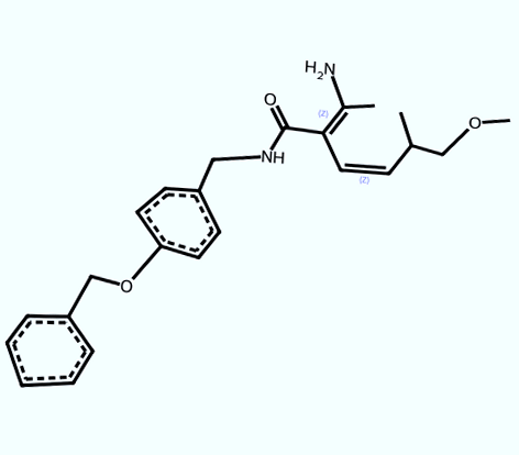 COCC(C)/C=C\C(C(=O)NCc1ccc(OCc2ccccc2)cc1)=C(/C)N